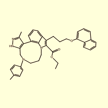 CCOC(=O)c1c(CCCOc2cccc3ccccc23)c2cccc3c2n1CCCN(c1ccc(C)cc1)Cc1[nH]nc(C)c1-3